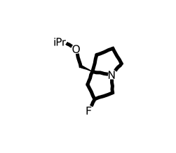 CC(C)OC[C@@]12CCCN1CC(F)C2